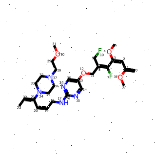 C=C(/C=C(OC)\C(F)=C(/CF)COc1cnc(NC/C=C\C(=C/C)N2CCN(CCOC)CC2)nc1)OC